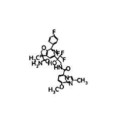 COc1ccc(C(=O)NCC(O)(c2cc3c(c(-c4ccc(F)cc4)n2)OC[C@]3(C)C(N)=O)C(F)(F)F)n2cc(C)nc12